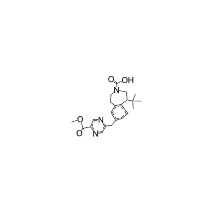 COC(=O)c1cnc(Cc2ccc3c(c2)CCN(C(=O)O)CC3C(C)(C)C)cn1